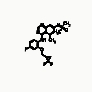 Cc1cc(N=S(C)(C)=O)cc2ncnc(Nc3ccc(F)cc3OCC3CC3(F)F)c12